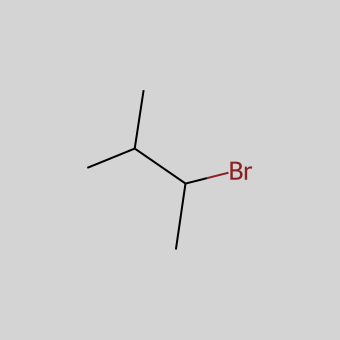 CC(C)C(C)Br